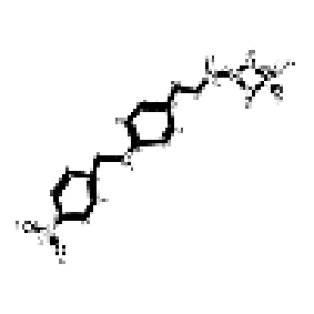 O=[N+]([O-])c1ccc(COc2ccc(CCNN3OS(=O)(=O)O3)cc2)cc1